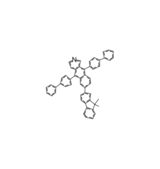 CC1(C)c2ccccc2-c2ccc(-c3ccc4c(-c5ccc(-c6ccccc6)cc5)c5cnccc5c(-c5ccc(-c6ccccc6)cc5)c4c3)cc21